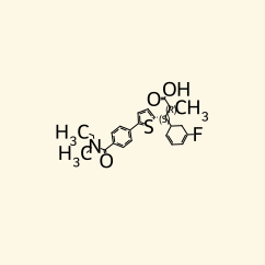 CCN(C)C(=O)c1ccc(-c2ccc([C@@H](C3C=CC=C(F)C3)[C@@H](C)C(=O)O)s2)cc1